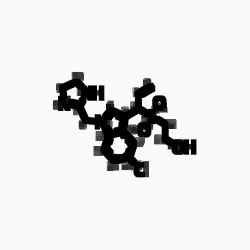 C=CC(c1cn(CC2=NCCN2)c2ccc(Cl)cc12)S(=O)(=O)CCO